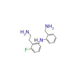 NCCc1ccccc1F.NCc1ccccc1N